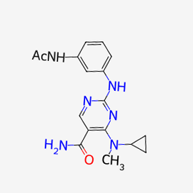 CC(=O)Nc1cccc(Nc2ncc(C(N)=O)c(N(C)C3CC3)n2)c1